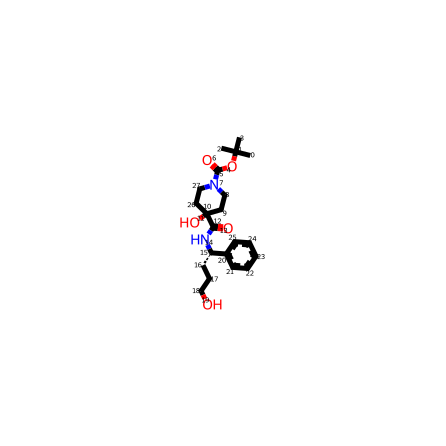 CC(C)(C)OC(=O)N1CCC(O)(C(=O)N[C@@H](CCCO)c2ccccc2)CC1